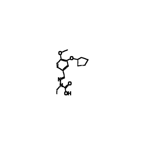 CCN(N=Cc1ccc(OC)c(OC2CCCC2)c1)C(=O)O